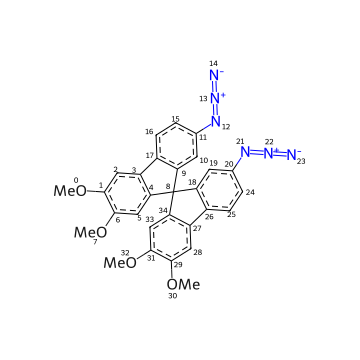 COc1cc2c(cc1OC)C1(c3cc(N=[N+]=[N-])ccc3-2)c2cc(N=[N+]=[N-])ccc2-c2cc(OC)c(OC)cc21